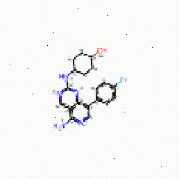 Nc1ncc(-c2ccc(F)cc2)c2nc(NC3CCC(O)CC3)ncc12